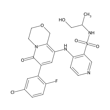 CC(CO)NS(=O)(=O)c1cnccc1Nc1cc(-c2cc(Cl)ccc2F)c(=O)n2c1COCC2